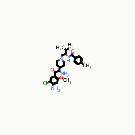 COc1cc(N)c(Cl)cc1C(=O)C(N)C1CCN(CC(NC(=O)c2ccc(C)cc2)C(C)C)CC1